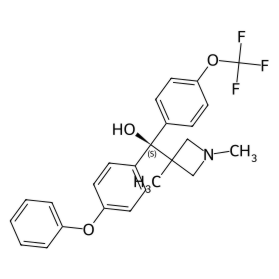 CN1CC(C)([C@](O)(c2ccc(Oc3ccccc3)cc2)c2ccc(OC(F)(F)F)cc2)C1